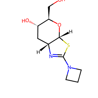 OC[C@H]1O[C@@H]2SC(N3CCC3)=N[C@@H]2C[C@@H]1O